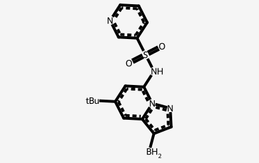 Bc1cnn2c(NS(=O)(=O)c3cccnc3)cc(C(C)(C)C)cc12